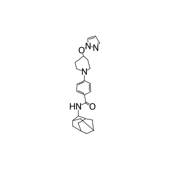 O=C(NC1C2CC3CC(C2)CC1C3)c1ccc(N2CCC(On3cccn3)CC2)cc1